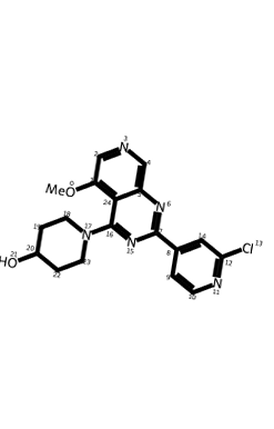 COc1cncc2nc(-c3ccnc(Cl)c3)nc(N3CCC(O)CC3)c12